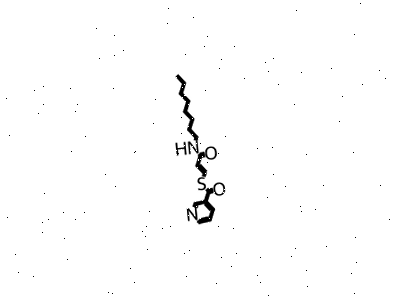 CCCCCCCCNC(=O)C=CSC(=O)c1cccnc1